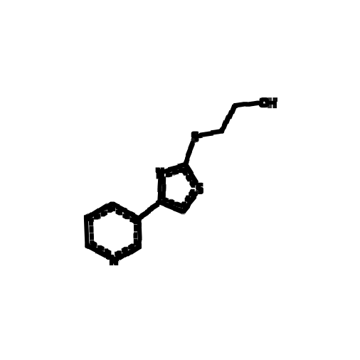 OCCSc1nc(-c2cccnc2)cs1